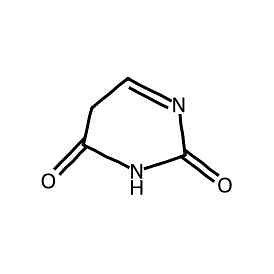 O=C1CC=NC(=O)N1